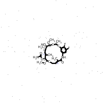 CO[C@H]1C[C@H](C)Cc2cc(cc(F)c2F)NC(=O)/C(C)=C/CC[C@H](OC)[C@@H](OC(N)=O)/C(C)=C/[C@H](C)[C@H]1O